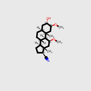 CO[C@H]1C[C@]2(C)[C@@H](C#N)CC[C@H]2[C@@H]2CC[C@H]3C[C@H](O)[C@@H](OC)C[C@]3(C)[C@H]21